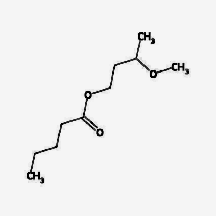 CCCCC(=O)OCCC(C)OC